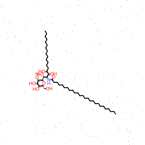 CCCCCCCCCCCCCCCCCCCCCCCCCC(=O)N[C@H](C(O)[C@H]1O[C@H](CO)[C@@H](O)[C@H](O)[C@H]1O)[C@H](O)[C@H](O)CCCCCCCCCCCCCC